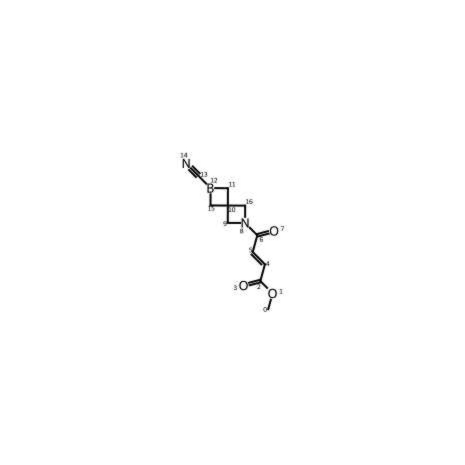 COC(=O)/C=C/C(=O)N1CC2(CB(C#N)C2)C1